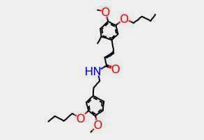 CCCCOc1cc(CCNC(=O)/C=C/c2cc(OCCCC)c(OC)cc2C)ccc1OC